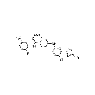 COc1cc(Nc2ncc(Cl)c(-c3ccn(C(C)C)n3)n2)ccc1C(=O)Nc1cc(C)ccc1F